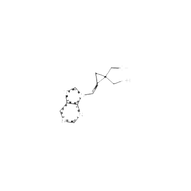 OCC1(CO)CC1=Cn1cnc2cncnc21